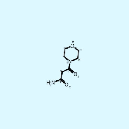 NC(=O)CC(=O)N1CCOCC1